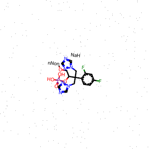 CCCCCCCCCOCC(OP(=O)(O)O)C(Cn1cncn1)(Cn1cncn1)c1ccc(F)cc1F.[NaH]